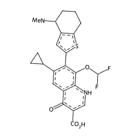 CNC1CCCc2sc(-c3c(C4CC4)cc4c(=O)c(C(=O)O)c[nH]c4c3OC(F)F)cc21